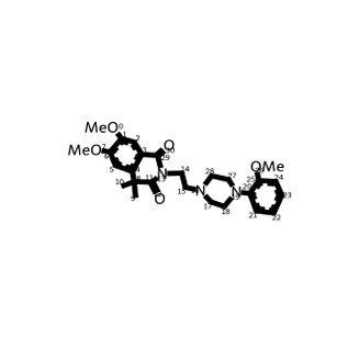 COc1cc2c(cc1OC)C(C)(C)C(=O)N(CCN1CCN(c3ccccc3OC)CC1)C2=O